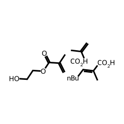 C=C(C)C(=O)O.C=C(C)C(=O)OCCO.CCCCC=C(C)C(=O)O